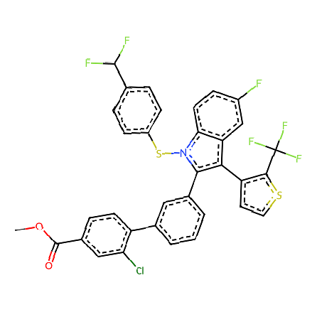 COC(=O)c1ccc(-c2cccc(-c3c(-c4ccsc4C(F)(F)F)c4cc(F)ccc4n3Sc3ccc(C(F)F)cc3)c2)c(Cl)c1